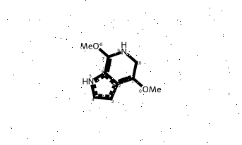 COC1=c2cc[nH]c2=C(OC)NC1